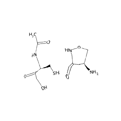 CC(=O)N[C@@H](CS)C(=O)O.N[C@@H]1CONC1=O